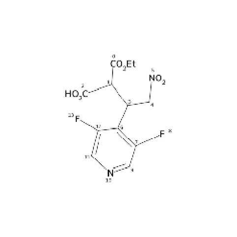 CCOC(=O)C(C(=O)O)C(C[N+](=O)[O-])c1c(F)cncc1F